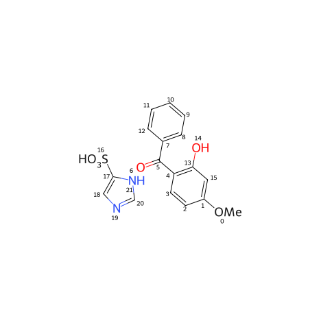 COc1ccc(C(=O)c2ccccc2)c(O)c1.O=S(=O)(O)c1cnc[nH]1